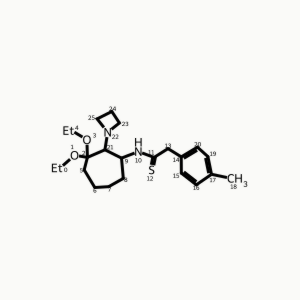 CCOC1(OCC)CCCCC(NC(=S)Cc2ccc(C)cc2)C1N1CCC1